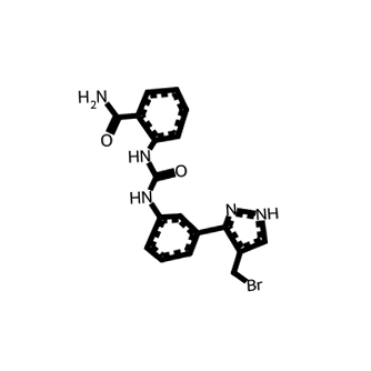 NC(=O)c1ccccc1NC(=O)Nc1cccc(-c2n[nH]cc2CBr)c1